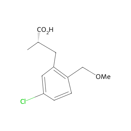 COCc1ccc(Cl)cc1C[C@H](C)C(=O)O